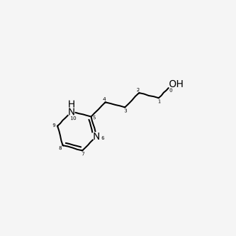 OCCCCC1=NC=CCN1